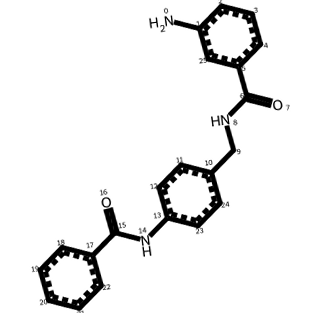 Nc1cccc(C(=O)NCc2ccc(NC(=O)c3ccccc3)cc2)c1